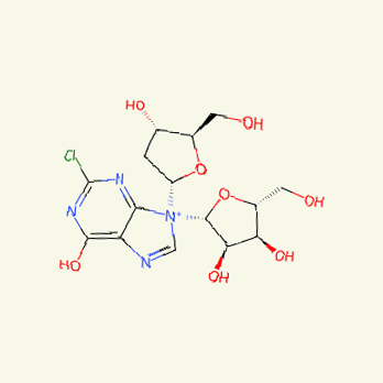 OC[C@H]1O[C@@H]([N+]2([C@@H]3C[C@H](O)[C@@H](CO)O3)C=Nc3c(O)nc(Cl)nc32)[C@H](O)[C@@H]1O